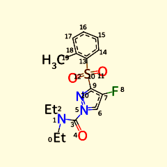 CCN(CC)C(=O)n1cc(F)c(S(=O)(=O)c2ccccc2C)n1